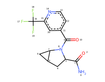 NC(=O)C1CC2CC2N1C(=O)c1ccnc(C(F)(F)F)c1